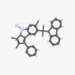 CC1=C(C)C2C(=C1c1ccccc1)c1cc(C(C)(C)C3c4ccccc4-c4ccccc43)c(C)cc1N2Br